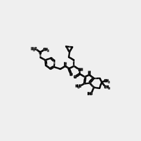 Cc1c(C(=O)NC(CCC2CC2)C(=O)NCc2ccc(CN(C)C)cc2)[nH]c2c1C(O)CC(C)(C)C2